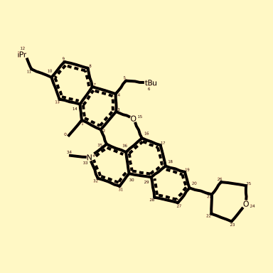 Cc1c2c(c(CC(C)(C)C)c3ccc(CC(C)C)cc13)Oc1cc3cc(C4CCOCC4)ccc3c3cc[n+](C)c-2c13